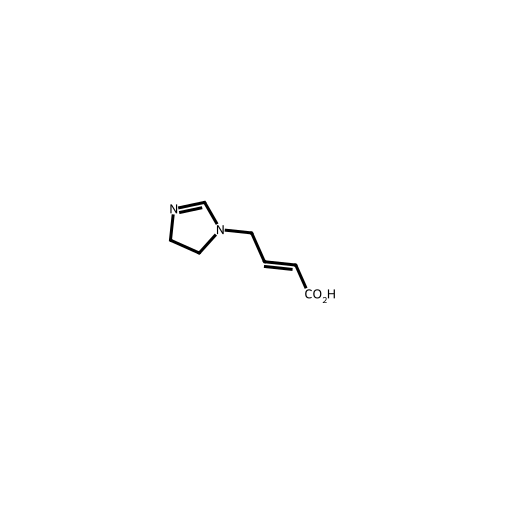 O=C(O)C=CCN1C=NCC1